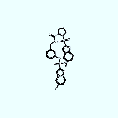 O=C(NCc1cccc(OS(=O)(=O)c2cc3cc(F)ccc3o2)c1)[C@@H]1CCCN1S(=O)(=O)c1cc2cc(F)ccc2o1